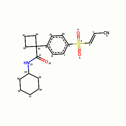 N#CC=CS(=O)(=O)c1ccc(C2(C(=O)NC3CCCCC3)CCC2)cc1